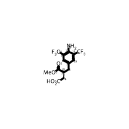 COC(=O)[C@H](CC(=O)O)Cc1cc(C(F)(F)F)c(N)c(C(F)(F)F)c1